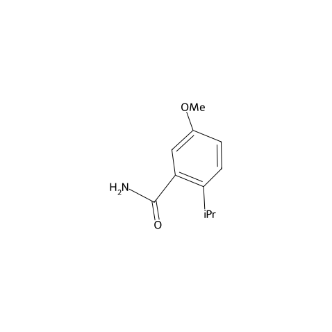 COc1ccc(C(C)C)c(C(N)=O)c1